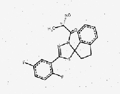 C[C@H](N=O)C(=O)N1N=C(c2cc(F)ccc2F)SC12CCc1ccccc12